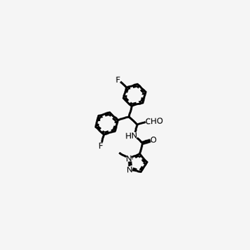 Cn1nccc1C(=O)NC(C=O)C(c1cccc(F)c1)c1cccc(F)c1